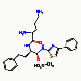 CS(=O)(=O)O.NCCC[C@H](N)C(=O)N[C@H](CCc1ccccc1)C(=O)Nc1nc(-c2ccccc2)cs1